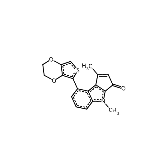 CC1=CC(=O)c2c1c1c(-c3scc4c3OCCO4)cccc1n2C